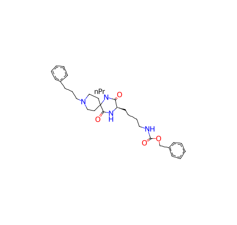 CCCN1C(=O)[C@@H](CCCCNC(=O)OCc2ccccc2)NC(=O)C12CCN(CCCc1ccccc1)CC2